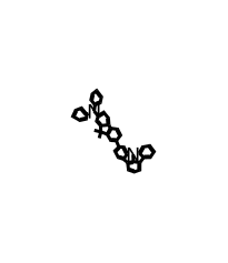 CC1(C)c2cc(-c3ccc4c5cccc6c7ccccc7n(c4c3)c65)ccc2-c2ccc(N(c3ccccc3)c3ccccc3)cc21